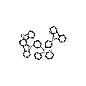 c1ccc([Si](c2ccc(-n3c4ccccc4c4cccnc43)cc2)(c2cccc(-n3c4ccccc4c4ccc5oc6ccccc6c5c43)c2)c2ccccn2)cc1